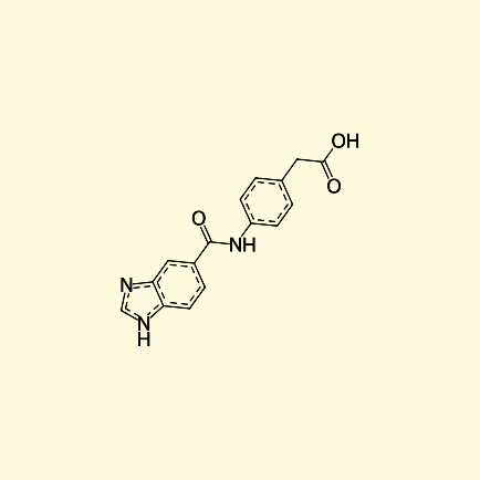 O=C(O)Cc1ccc(NC(=O)c2ccc3[nH]cnc3c2)cc1